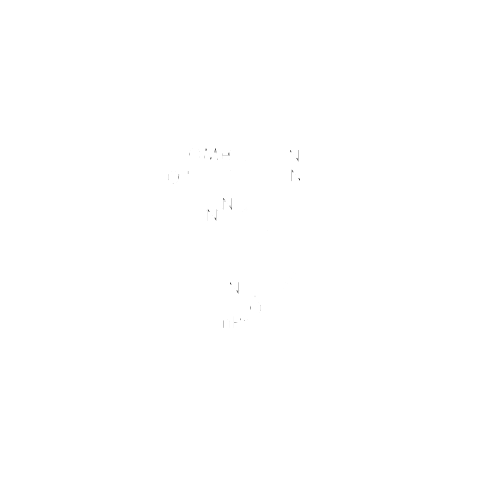 CCC[C@@H]1CCCCN1C(=O)c1cccc(-c2cccc(-n3ncc(C(=O)OC)c3C3CC3c3cnn(C)c3)c2)c1